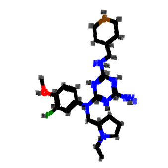 CCN1CCCC1CN(c1ccc(OC)c(F)c1)c1nc(N)nc(NCC2CCSCC2)n1